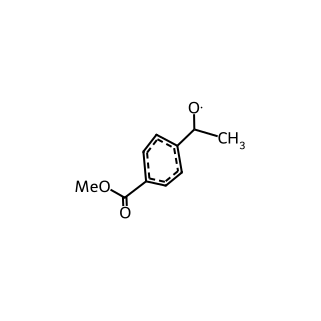 COC(=O)c1ccc(C(C)[O])cc1